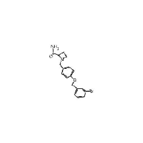 NC(=O)C1CCN1Cc1ccc(OCc2cccc(Br)c2)cc1